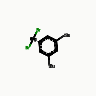 CC(C)(C)c1c[c]cc(C(C)(C)C)c1.[Br][Mg][Br]